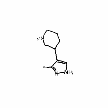 Cc1n[nH]cc1C1CCCNC1